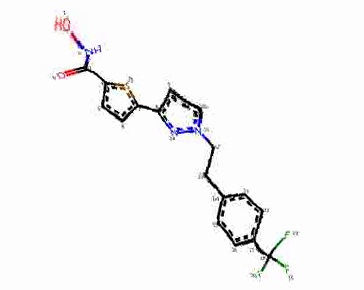 O=C(NO)c1ccc(-c2ccn(CCc3ccc(C(F)(F)F)cc3)n2)s1